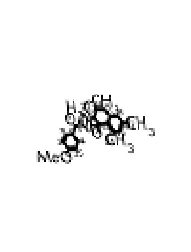 COc1ccc(C(=O)N/N=C2\C(=O)c3c(C)cc(C)cc3CC2(C)C)cc1